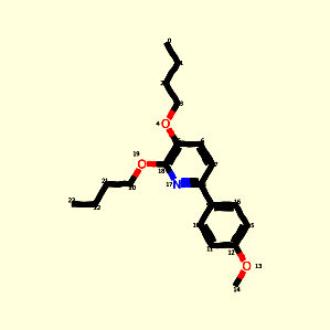 CCCCOc1ccc(-c2ccc(OC)cc2)nc1OCCCC